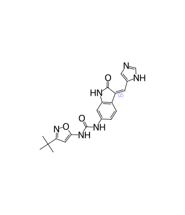 CC(C)(C)c1cc(NC(=O)Nc2ccc3c(c2)NC(=O)/C3=C\c2cnc[nH]2)on1